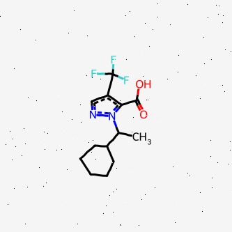 CC(C1CCCCC1)n1ncc(C(F)(F)F)c1C(=O)O